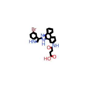 O=C(O)CCC(=O)Nc1ccc2c3ccccc3c3nc(-c4c[nH]c5ccc(Br)cc45)[nH]c3c2c1